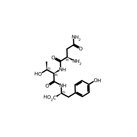 C[C@H](O)[C@@H](NC(=O)[C@H](N)CC(N)=O)C(=O)N[C@@H](Cc1ccc(O)cc1)C(=O)O